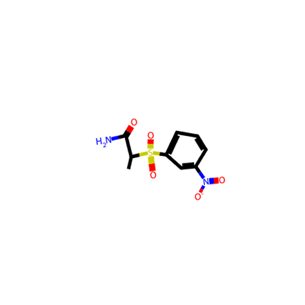 CC(C(N)=O)S(=O)(=O)c1cccc([N+](=O)[O-])c1